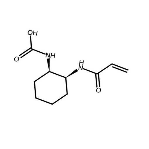 C=CC(=O)N[C@H]1CCCC[C@H]1NC(=O)O